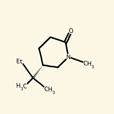 CCC(C)(C)[C@@H]1CCC(=O)N(C)C1